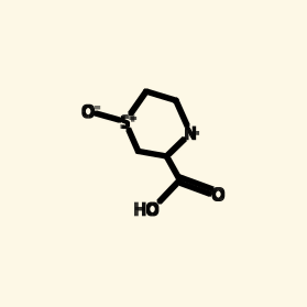 O=C(O)C1C[S+]([O-])CC[N]1